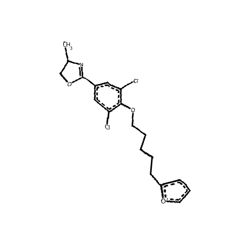 CC1COC(c2cc(Cl)c(OCCCCCc3ccco3)c(Cl)c2)=N1